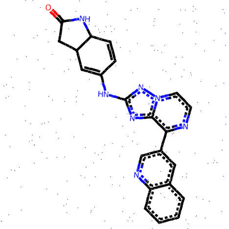 O=C1CC2C=C(Nc3nc4c(-c5cnc6ccccc6c5)nccn4n3)C=CC2N1